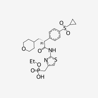 CCOP(=O)(O)Cc1csc(NC(=O)[C@H](CC2CCOCC2)c2ccc(S(=O)(=O)C3CC3)cc2)n1